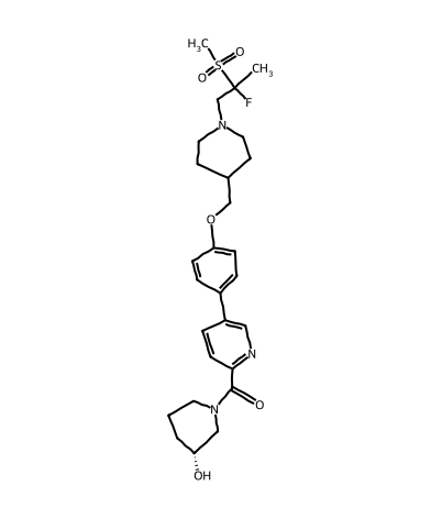 CC(F)(CN1CCC(COc2ccc(-c3ccc(C(=O)N4CCC[C@@H](O)C4)nc3)cc2)CC1)S(C)(=O)=O